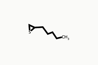 CCCCCC1CS1